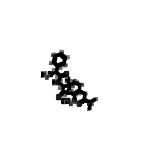 CN(C)C(=O)CC1=C(C(=O)O)N2C(=O)[C@@H](NC(=O)[C@@H](N)c3ccccc3)[C@@H]2SC1